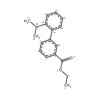 CCOC(=O)c1cccc(-c2ccccc2N(C)C)c1